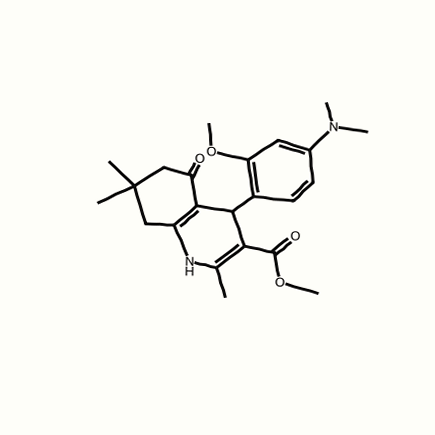 COC(=O)C1=C(C)NC2=C(C(=O)CC(C)(C)C2)C1c1ccc(N(C)C)cc1OC